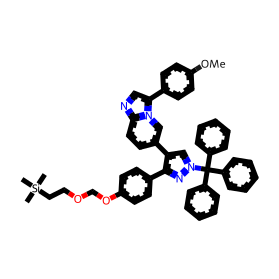 COc1ccc(-c2cnc3ccc(-c4cn(C(c5ccccc5)(c5ccccc5)c5ccccc5)nc4-c4ccc(OCOCC[Si](C)(C)C)cc4)cn23)cc1